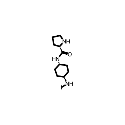 O=C(N[C@H]1CC[C@H](NI)CC1)[C@H]1CCCN1